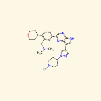 CCN1CCC(n2cc(-c3c[nH]c4ncc(-c5ccc(C6CCOCC6)c(CN(C)C)c5)nc34)cn2)CC1